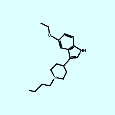 CCCCN1CCC(c2c[nH]c3ccc(OCC)cc23)CC1